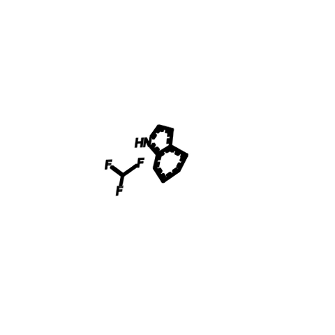 FC(F)F.c1ccc2[nH]ccc2c1